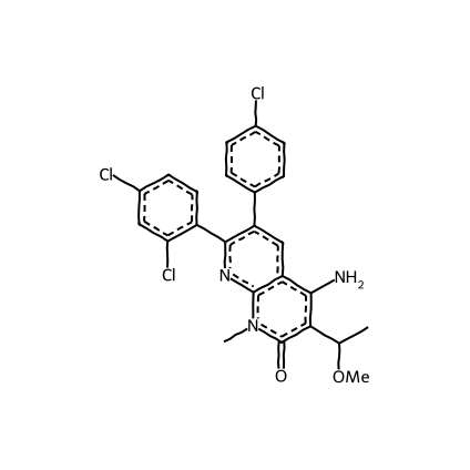 COC(C)c1c(N)c2cc(-c3ccc(Cl)cc3)c(-c3ccc(Cl)cc3Cl)nc2n(C)c1=O